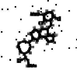 CCN(COC)C1/C=C\CCC(c2ncc3cc(Cc4c(Cl)ccc(OC)c4Cl)c4nccn4c3n2)/C=C\1